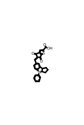 O=C(O)c1cc2c(s1)C(=O)C(=Cc1ccc3c(c1)C1CCCC1N3c1ccccc1)C2=O